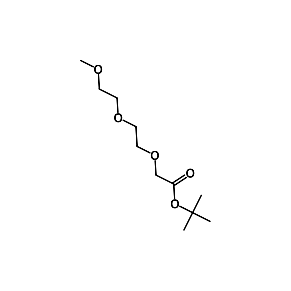 COCCOCCOCC(=O)OC(C)(C)C